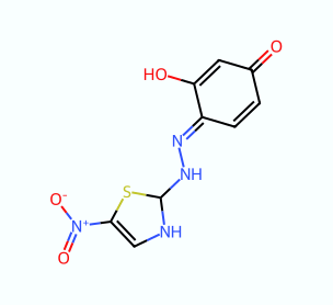 O=C1C=C/C(=N\NC2NC=C([N+](=O)[O-])S2)C(O)=C1